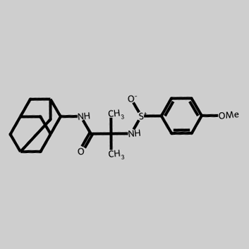 COc1ccc([S+]([O-])NC(C)(C)C(=O)NC2C3CC4CC(C3)CC2C4)cc1